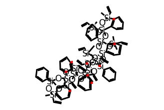 C=C[Si](C)(C)O[Si](O[Si](C)(C)C=C)(O[Si](O[Si](C)(C)C=C)(O[Si](O[Si](C)(C)C=C)(O[Si](O[Si](C)(C)C=C)(O[Si](O[Si](C)(C)C=C)(O[Si](O[Si](C)(C)C=C)(O[Si](O[Si](C)(C)C=C)(O[Si](O[Si](C)(C)C=C)(O[Si](C)(C)C=C)c1ccccc1)c1ccccc1)c1ccccc1)c1ccccc1)c1ccccc1)c1ccccc1)c1ccccc1)c1ccccc1